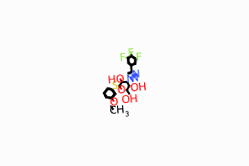 CCOc1cccc(SC2OC(CO)C(O)C(n3cc(-c4cc(F)c(F)c(F)c4)nn3)C2O)c1